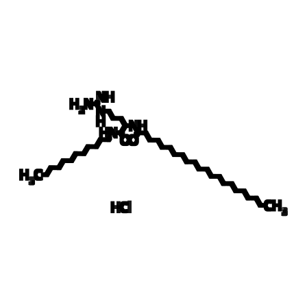 CCCCCCCCCCCCCCCCCCCCCC(=O)NC(CCCNC(=N)N)C(=O)NCCCCCCCCCCCC.Cl